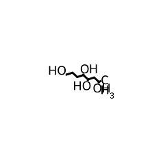 CC(O)CC(O)C(O)CCCO